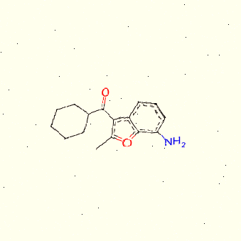 Cc1oc2c(N)cccc2c1C(=O)C1CCCCC1